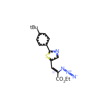 CCOC(=O)/C(=C/c1cnc(-c2ccc(C(C)(C)C)cc2)s1)N=[N+]=[N-]